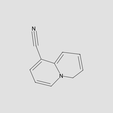 N#CC1=CC=CN2CC=CC=C12